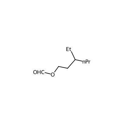 CCCC(CC)CCOC=O